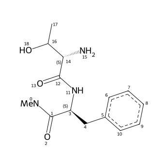 CNC(=O)[C@H](Cc1ccccc1)NC(=O)[C@@H](N)C(C)O